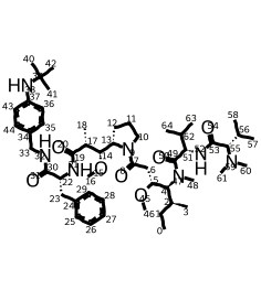 CC[C@H](C)[C@@H]([C@@H](CC(=O)N1CCC[C@H]1[C@H](OC)[C@@H](C)C(=O)N[C@H](Cc1ccccc1)C(=O)NCc1ccc(NC(C)(C)C)cc1)OC)N(C)C(=O)[C@@H](NC(=O)[C@H](C(C)C)N(C)C)C(C)C